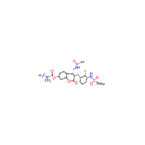 CNS(=O)(=O)Nc1cccc(Cc2c(CNC(=O)C(C)C)c3ccc(OC(=O)N(C)C)cc3oc2=O)c1F